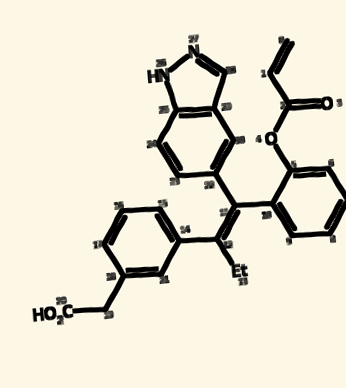 C=CC(=O)Oc1ccccc1/C(=C(\CC)c1cccc(CC(=O)O)c1)c1ccc2[nH]ncc2c1